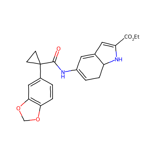 CCOC(=O)C1=CC2=CC(NC(=O)C3(c4ccc5c(c4)OCO5)CC3)=CCC2N1